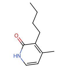 CCCCc1c(C)cc[nH]c1=O